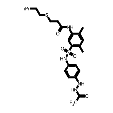 Cc1cc(C)c(S(=O)(=O)Nc2ccc(NNC(=O)C(F)(F)F)cc2)cc1NC(=O)CCSCCC(C)C